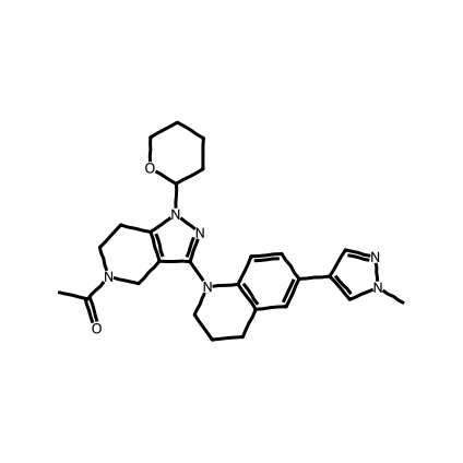 CC(=O)N1CCc2c(c(N3CCCc4cc(-c5cnn(C)c5)ccc43)nn2C2CCCCO2)C1